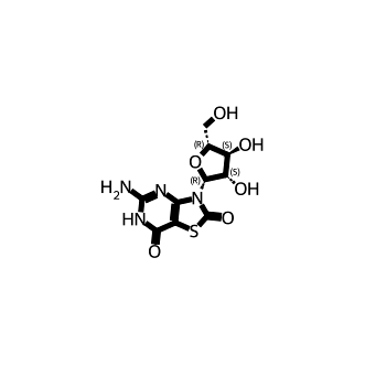 Nc1nc2c(sc(=O)n2[C@@H]2O[C@H](CO)[C@@H](O)[C@@H]2O)c(=O)[nH]1